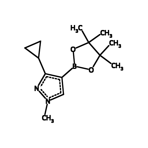 Cn1cc(B2OC(C)(C)C(C)(C)O2)c(C2CC2)n1